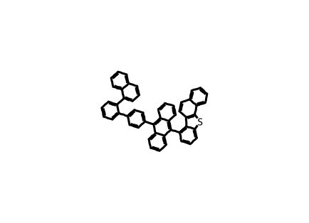 c1ccc(-c2cccc3ccccc23)c(-c2ccc(-c3c4ccccc4c(-c4cccc5sc6c7ccccc7ccc6c45)c4ccccc34)cc2)c1